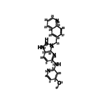 COc1ccnc(Nc2ccc3c(n2)N(Cc2ccc4ncccc4c2)NN3)c1